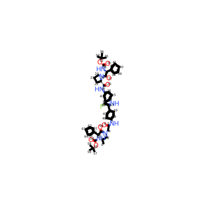 CCCN(CC(=O)Nc1ccc(-c2[nH]c3ccc(NC(=O)[C@@H]4CCCN4C(=O)[C@@H](NC(=O)OC(C)(C)C)c4ccccc4)cc3c2F)cc1)C(=O)[C@@H](NC(=O)OC(C)(C)C)c1ccccc1